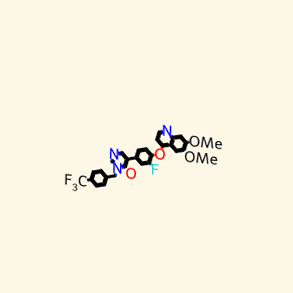 COc1cc2nccc(Oc3ccc(-c4cncn(Cc5ccc(C(F)(F)F)cc5)c4=O)cc3F)c2cc1OC